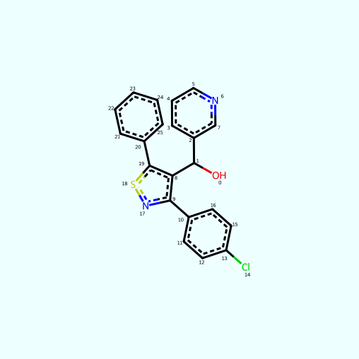 OC(c1cccnc1)c1c(-c2ccc(Cl)cc2)nsc1-c1ccccc1